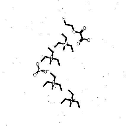 CC[N+](C)(CC)CC.CC[N+](C)(CC)CC.CC[N+](C)(CC)CC.CC[N+](C)(CC)CC.O=C([O-])C(=O)OCCF.[O-]B([O-])[O-]